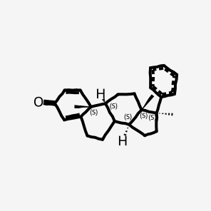 C[C@]12C=CC(=O)C=C1CCC1[C@@H]2CC[C@@]2(C)[C@H]1CC[C@]2(C)c1ccccc1